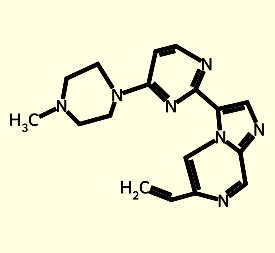 C=Cc1cn2c(-c3nccc(N4CCN(C)CC4)n3)cnc2cn1